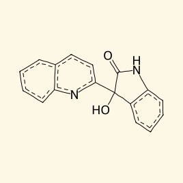 O=C1Nc2ccccc2C1(O)c1ccc2ccccc2n1